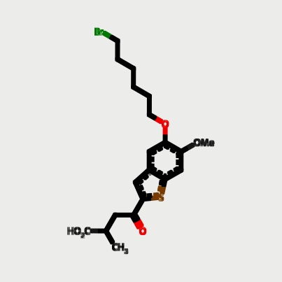 COc1cc2sc(C(=O)CC(C)C(=O)O)cc2cc1OCCCCCCBr